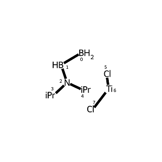 BBN(C(C)C)C(C)C.[Cl][Ti][Cl]